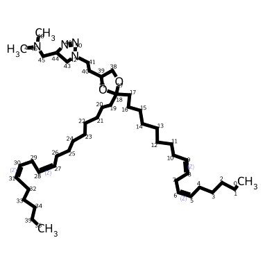 CCCCC/C=C\C/C=C\CCCCCCCCC1(CCCCCCCC/C=C\C/C=C\CCCCC)OCC(CCN2CC(CN(C)C)N=N2)O1